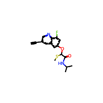 C#Cc1cnc2c(F)cc(OC(SC)C(=O)NC(C)C)cc2c1